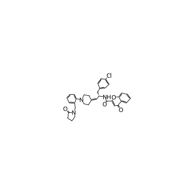 O=C(N[C@@H](C=C1CCN(c2ccccc2CN2CCCC2=O)CC1)Cc1ccc(Cl)cc1)c1cc(=O)c2ccccc2o1